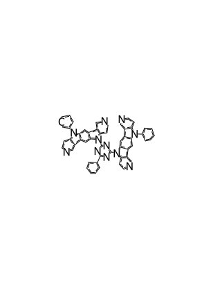 c1ccc(-c2nc(-n3c4ccncc4c4cc5c(cc43)c3cnccc3n5-c3ccccc3)nc(-n3c4ccncc4c4cc5c(cc43)c3cnccc3n5-c3ccccc3)n2)cc1